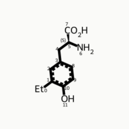 CCc1cc(C[C@H](N)C(=O)O)ccc1O